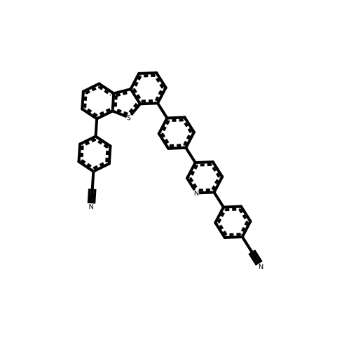 N#Cc1ccc(-c2ccc(-c3ccc(-c4cccc5c4sc4c(-c6ccc(C#N)cc6)cccc45)cc3)cn2)cc1